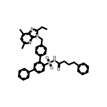 CCc1nc2c(C)cc(C)nc2n1Cc1ccc(-c2cc(-c3ccccc3)ccc2S(=O)(=O)NC(=O)CCCc2ccccc2)cc1